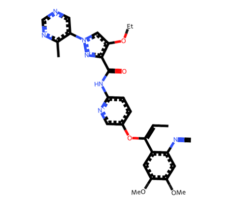 C=Nc1cc(OC)c(OC)cc1/C(=C\C)Oc1ccc(NC(=O)c2nn(-c3cncnc3C)cc2OCC)nc1